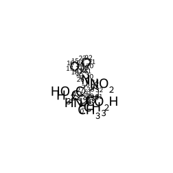 CC1NC(C)C(CCCN2CCC(c3ccccc3)(c3ccccc3)CC2)(C(=O)O)C(C2C=CCC([N+](=O)[O-])=C2)C1(C)C(=O)O